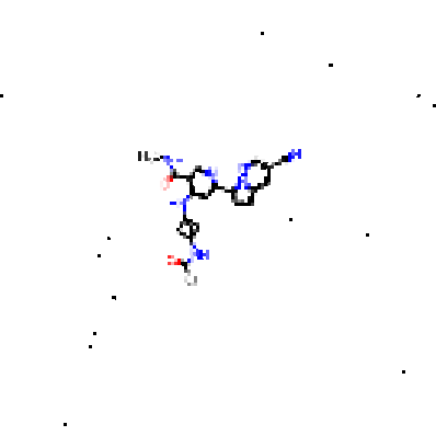 CNC(=O)c1cnc(-c2ccc3cc(C#N)cnn23)cc1NC12CC(NC(C)=O)(C1)C2